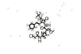 CON=C(C(=O)NC1C(=O)N([Si](C)(C)C(C)(C)C)C1C=Cc1ccccc1)c1csc(NC(=O)CCl)n1